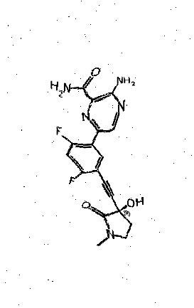 CN1CC[C@@](O)(C#Cc2cc(-c3cnc(N)c(C(N)=O)n3)c(F)cc2F)C1=O